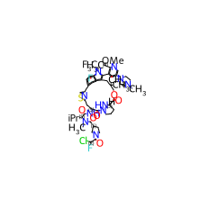 CO[C@@H](C)c1ncc(N2CCN(C)CC2)cc1-c1c2c3c(F)c(ccc3n1CC(F)(F)F)-c1csc(n1)C[C@H](NC(=O)[C@H](C(C)C)N(C)C(=O)[C@H]1CCN(C(=O)[C@H](F)Cl)C1)C(=O)N1CCC[C@H](N1)C(=O)OCC(C)(C)C2